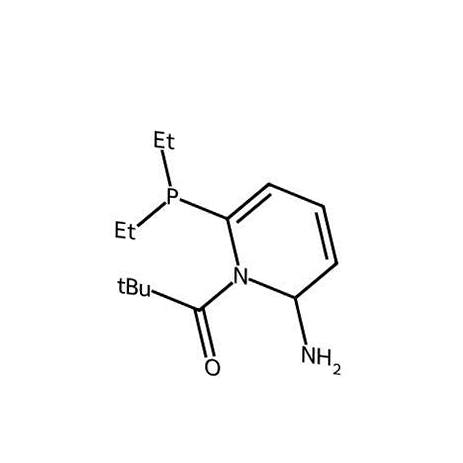 CCP(CC)C1=CC=CC(N)N1C(=O)C(C)(C)C